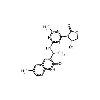 CC[C@H]1COC(=O)N1c1nc(C)nc(NC(C)c2cc3cc(C)ccc3[nH]c2=O)n1